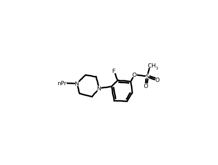 CCCN1CCN(c2cccc(OS(C)(=O)=O)c2F)CC1